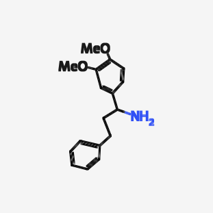 COc1ccc(C(N)CCc2ccccc2)cc1OC